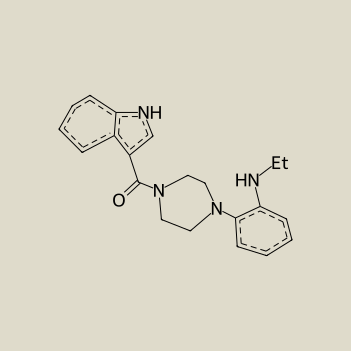 CCNc1ccccc1N1CCN(C(=O)c2c[nH]c3ccccc23)CC1